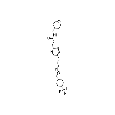 O=C(CCc1ncc(CCC=NOCc2ccc(C(F)(F)F)cc2)cn1)NCC1CCOCC1